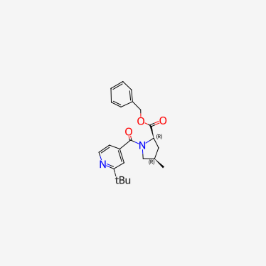 C[C@@H]1C[C@H](C(=O)OCc2ccccc2)N(C(=O)c2ccnc(C(C)(C)C)c2)C1